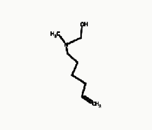 C=CCCCCN(C)CO